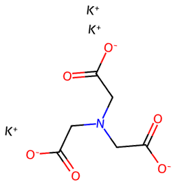 O=C([O-])CN(CC(=O)[O-])CC(=O)[O-].[K+].[K+].[K+]